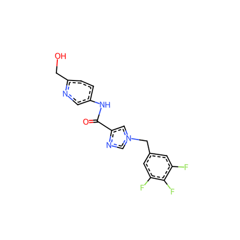 O=C(Nc1ccc(CO)nc1)c1cn(Cc2cc(F)c(F)c(F)c2)cn1